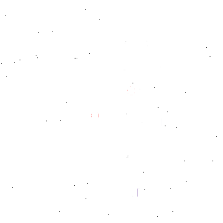 CC1CCC(C(C)C)C(OC(=O)C(I)CCI)C1